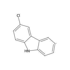 Clc1ccc2[nH]c3cc[c]cc3c2c1